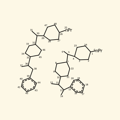 CCCC1CCC(C(C)C2CCC(C(C)C(C)c3ccccc3)CC2)CC1.CCCC1CCC(C(C)C2CCC(C(C)Cc3ccccc3)CC2)CC1